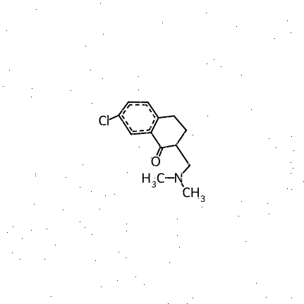 CN(C)CC1CCc2ccc(Cl)cc2C1=O